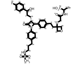 CC(C)C(NC(=O)COC1(CCc2ccc(C3[C@@H](CCC(O)c4ccc(F)cc4)C(=O)N3c3ccc(CCCNS(C)(=O)=O)cc3)cc2)COC1)C(=O)O